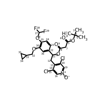 CC(C)(C)OC(=O)CC(=O)OC(Cc1c(Cl)c[n+]([O-])cc1Cl)c1ccc(OC(F)F)c(OCC2CC2)c1